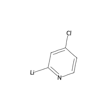 [Li][c]1cc(Cl)ccn1